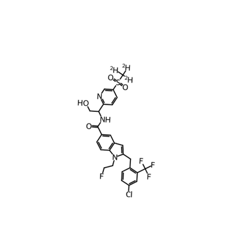 [2H]C([2H])([2H])S(=O)(=O)c1ccc(C(CO)NC(=O)c2ccc3c(c2)cc(Cc2ccc(Cl)cc2C(F)(F)F)n3CCF)nc1